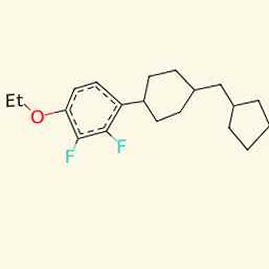 CCOc1ccc(C2CCC(CC3CCCC3)CC2)c(F)c1F